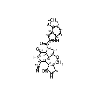 COc1cccc2[nH]c(C(=O)N3CC(OC)CC3C(=O)NC(C#N)CC3CCNC3=O)cc12